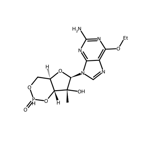 CCOc1nc(N)nc2c1ncn2[C@@H]1O[C@@H]2CO[PH](=O)O[C@H]2[C@@]1(C)O